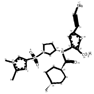 Cc1nc(S(=O)(=O)N2CC[C@H](N(c3cc(C#CC(C)(C)C)sc3C(=O)O)C(=O)[C@H]3CC[C@H](C)CC3)C2)cn1C